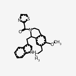 CCc1cc2c(cc1OC)CCN(C(=O)c1nccs1)C2Cc1c[nH]c2ccccc12